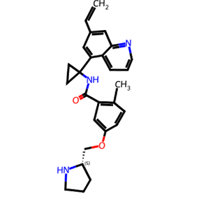 C=Cc1cc(C2(NC(=O)c3cc(OC[C@@H]4CCCN4)ccc3C)CC2)c2cccnc2c1